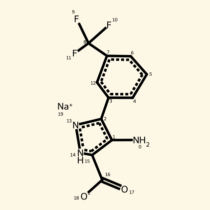 Nc1c(-c2cccc(C(F)(F)F)c2)n[nH]c1C(=O)[O-].[Na+]